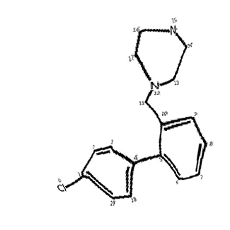 Clc1ccc(-c2ccccc2CN2CC[N]CC2)cc1